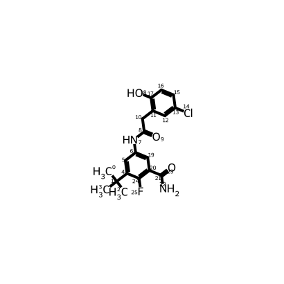 CC(C)(C)c1cc(NC(=O)Cc2cc(Cl)ccc2O)cc(C(N)=O)c1F